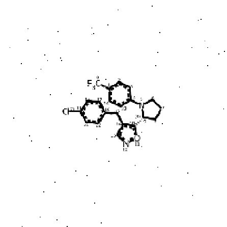 FC(F)(F)c1ccc(N2CCC[C@@H]2c2oncc2Cc2ccc(Cl)cc2)cc1